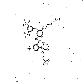 CC[C@@H]1C[C@H](Nc2ncc(OCCOCCO)c(Cc3cc(C(F)(F)F)cc(C(F)(F)F)c3)n2)c2cc(C(F)(F)F)ccc2N1C(=O)OCCC(=O)O